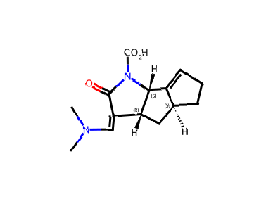 CN(C)C=C1C(=O)N(C(=O)O)[C@@H]2C3=CCC[C@H]3C[C@H]12